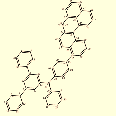 c1ccc(-c2cc(-c3ccccc3)cc(N(c3ccccc3)c3ccc(-c4cccc5c6c(ccc45)Nc4cccc5cccc-6c45)cc3)c2)cc1